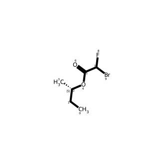 CC[C@H](C)OC(=O)C(F)Br